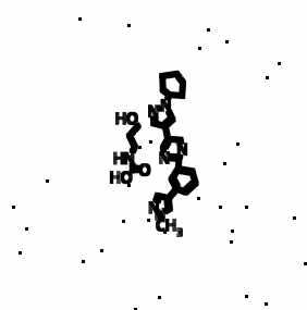 Cn1cc(-c2cccc(-c3ncc(-c4cnn(C5CCCCC5)c4)cn3)c2)cn1.O=C(O)NCCCO